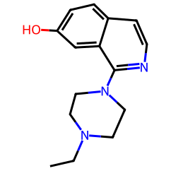 CCN1CCN(c2nccc3ccc(O)cc23)CC1